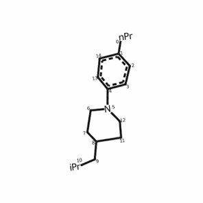 CCCc1ccc(N2CCC(CC(C)C)CC2)cc1